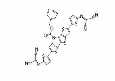 N#CC(C#N)=Nc1ccc(-c2cc3c(s2)c2sc4cc(-c5ccc(N=C(C#N)C#N)s5)sc4c2n3C(=O)OCc2ccccc2)s1